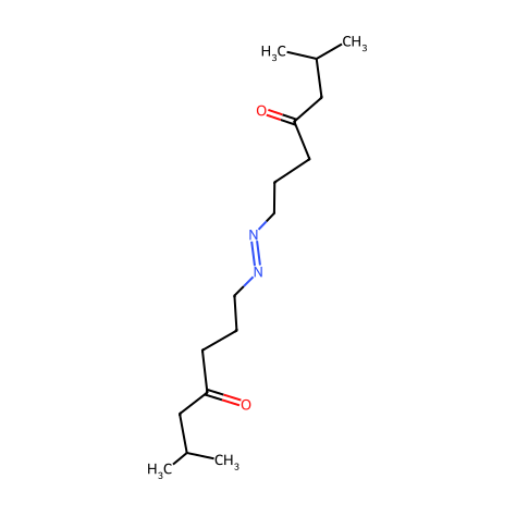 CC(C)CC(=O)CCCN=NCCCC(=O)CC(C)C